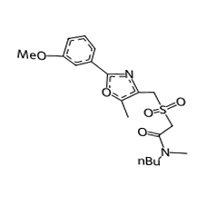 CCCCN(C)C(=O)CS(=O)(=O)Cc1nc(-c2cccc(OC)c2)oc1C